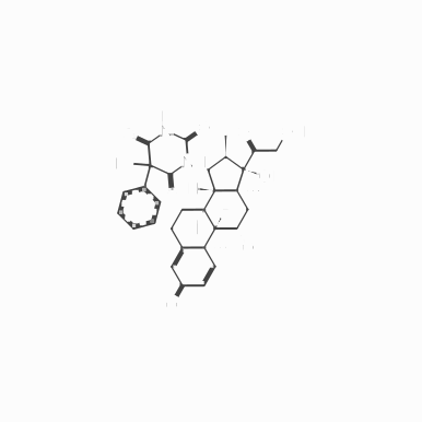 CCC1(c2ccccc2)C(=O)NC(=O)NC1=O.C[C@@H]1C[C@H]2[C@@H]3CCC4=CC(=O)C=C[C@]4(C)[C@@]3(F)[C@@H](O)C[C@]2(C)[C@@]1(O)C(=O)CO